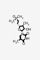 Cc1cn([C@@H]2O[C@H](CCP(C)(C)=O)[C@@H](C)[C@@H]2O)c(=O)[nH]c1=O